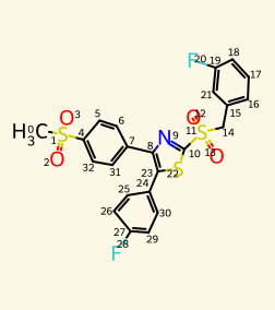 CS(=O)(=O)c1ccc(-c2nc(S(=O)(=O)Cc3cccc(F)c3)sc2-c2ccc(F)cc2)cc1